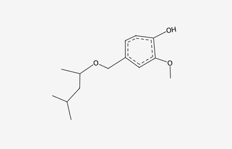 COc1cc(COC(C)CC(C)C)ccc1O